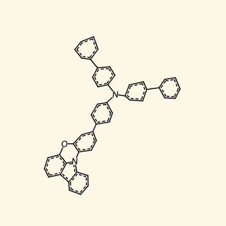 c1ccc(-c2ccc(N(c3ccc(-c4ccccc4)cc3)c3ccc(-c4ccc5c(c4)Oc4cccc6c7ccccc7n-5c46)cc3)cc2)cc1